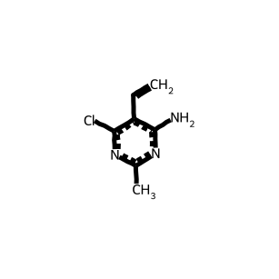 C=Cc1c(N)nc(C)nc1Cl